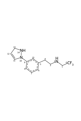 FC(F)(F)CNCCc1cccc(N2C=CCN2)c1